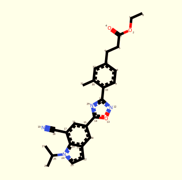 CCOC(=O)CCc1ccc(-c2noc(-c3cc(C#N)c4c(ccn4C(C)C)c3)n2)c(C)c1